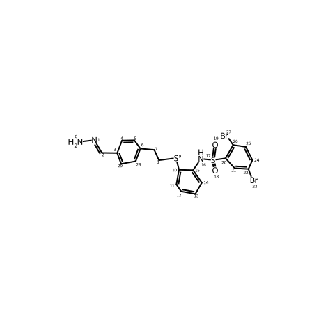 NN=Cc1ccc(CCSc2ccccc2NS(=O)(=O)c2cc(Br)ccc2Br)cc1